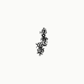 CC[C@H](C)[C@@H]([C@H](CC(=O)N1CCC[C@H]1[C@H](OC)[C@@H](C)C(=O)NS(=O)(=O)c1ccc(NC(=O)C(F)(F)F)cc1)OC)N(C)C(=O)[C@@H](NC(=O)[C@H](C(C)C)N(C)C)C(C)C